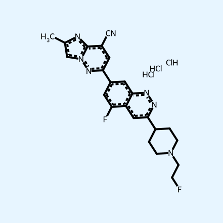 Cc1cn2nc(-c3cc(F)c4cc(C5CCN(CCF)CC5)nnc4c3)cc(C#N)c2n1.Cl.Cl.Cl